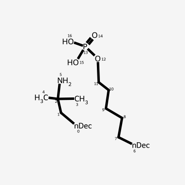 CCCCCCCCCCCC(C)(C)N.CCCCCCCCCCCCCCCOP(=O)(O)O